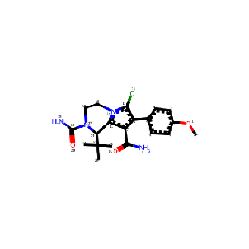 COc1ccc(-c2c(C(N)=O)c3n(c2Cl)CCN(C(N)=O)C3C(C)(C)C)cc1